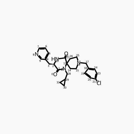 O=C1[C@@H](Cc2cccnc2)NC(=O)C2(CCN(Cc3ccc(Cl)cc3)CC2)N1CC1CC1